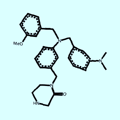 COc1cccc(CN(Cc2cccc(N(C)C)c2)c2cccc(CN3CCNCC3=O)c2)c1